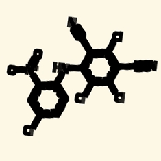 N#Cc1c(Cl)c(Cl)c(Nc2ccc(Cl)cc2[N+](=O)[O-])c(C#N)c1Cl